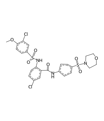 COc1ccc(S(=O)(=O)Nc2ccc(Cl)cc2C(=O)Nc2ccc(S(=O)(=O)N3CCOCC3)cc2)cc1Cl